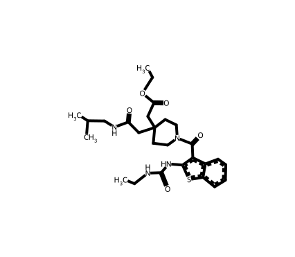 CCNC(=O)Nc1sc2ccccc2c1C(=O)N1CCC(CC(=O)NCC(C)C)(CC(=O)OCC)CC1